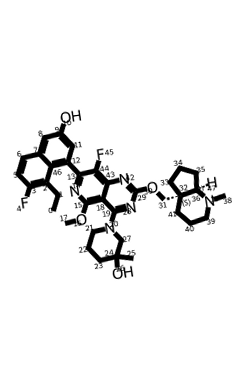 CCc1c(F)ccc2cc(O)cc(-c3nc(OC)c4c(N5CCCC(C)(O)C5)nc(OC[C@]56CCC[C@H]5N(C)CCC6)nc4c3F)c12